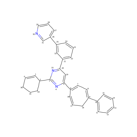 C1=CC(c2nc(C3=CC=C(c4ccccc4)CC=C3)cc(-c3cccc(-c4cccnc4)c3)n2)CCC1